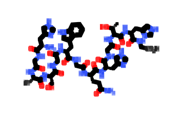 CC(C)[C@H](NC(=O)CNC(=O)[C@@H](N)Cc1c[nH]cn1)C(=O)N[C@@H](CO)C(=O)NCC(=O)N[C@@H](Cc1c[nH]c2ccccc12)C(=O)NCC(=O)N[C@@H](CCC(N)=O)C(=O)N[C@@H](Cc1c[nH]cn1)C(=O)NCC(=O)N[C@H](C(=O)N[C@@H](Cc1c[nH]cn1)C(=O)NCC(=O)O)[C@@H](C)O